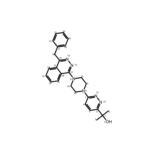 CC(C)(O)c1ccc(N2CCN(c3nnc(Cc4ccccc4)c4ccccc34)CC2)nn1